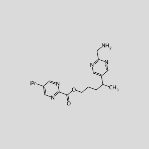 CC(C)c1cnc(C(=O)OCCCC(C)c2cnc(CN)nc2)nc1